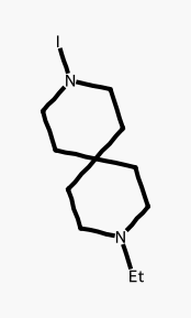 CCN1CCC2(CCN(I)CC2)CC1